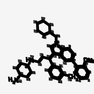 COc1ccccc1-c1ccc2c(c1)c(C(CCN[C@H]1CC[C@H](N)CC1)c1cccc(C)c1)cn2CC1CCCCC1